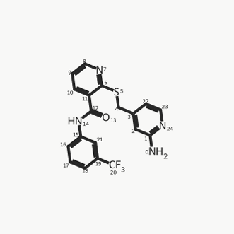 Nc1cc(CSc2ncccc2C(=O)Nc2cccc(C(F)(F)F)c2)ccn1